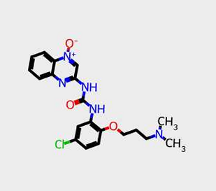 CN(C)CCCOc1ccc(Cl)cc1NC(=O)Nc1c[n+]([O-])c2ccccc2n1